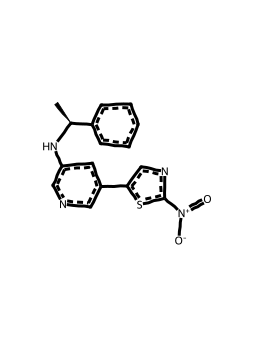 C[C@H](Nc1cncc(-c2cnc([N+](=O)[O-])s2)c1)c1ccccc1